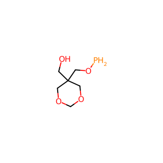 OCC1(COP)COCOC1